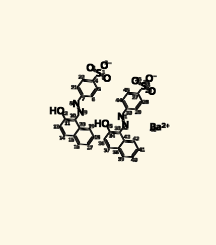 O=S(=O)([O-])c1ccc(N=Nc2c(O)ccc3ccccc23)cc1.O=S(=O)([O-])c1ccc(N=Nc2c(O)ccc3ccccc23)cc1.[Ba+2]